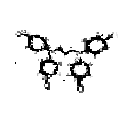 Clc1ccc(P(CCCP(c2ccc(Cl)cc2)c2ccc(Cl)cc2)c2ccc(Cl)cc2)cc1